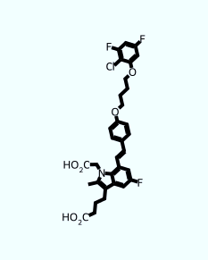 Cc1c(CCCC(=O)O)c2cc(F)cc(C=Cc3ccc(OCCCCOc4cc(F)cc(F)c4Cl)cc3)c2n1CC(=O)O